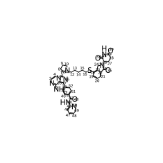 Nc1nccn2c([C@@H]3CCCN3CCCCCSc3cccc4c3CN(C3CCC(=O)NC3=O)C4=O)nc(-c3ccc(C(=O)Nc4ccccn4)cc3)c12